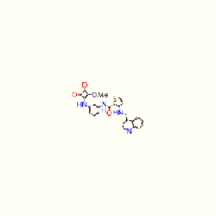 COc1c(Nc2cccc(NC(=O)c3sccc3NCc3ccnc4ccccc34)c2)c(=O)c1=O